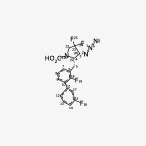 [N-]=[N+]=N[C@@H]1[C@H](Cc2cccc(-c3cccc(F)c3)c2F)N(C(=O)O)CC1(F)F